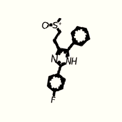 C[S+]([O-])CCc1nc(-c2ccc(F)cc2)[nH]c1-c1ccccc1